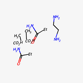 CC(=O)O.CC(=O)O.CCC(N)=O.CCC(N)=O.NCCN